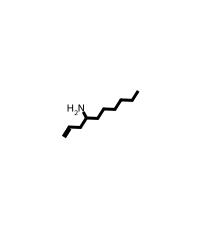 C=CCC(N)CCCCCC